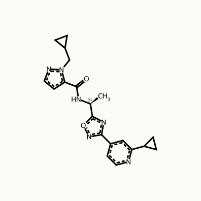 C[C@H](NC(=O)c1ccnn1CC1CC1)c1nc(-c2ccnc(C3CC3)c2)no1